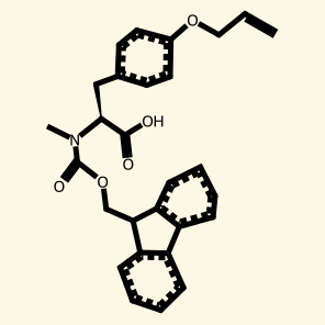 C=CCOc1ccc(C[C@@H](C(=O)O)N(C)C(=O)OCC2c3ccccc3-c3ccccc32)cc1